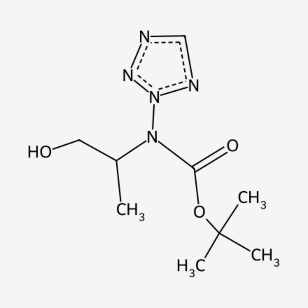 CC(CO)N(C(=O)OC(C)(C)C)n1ncnn1